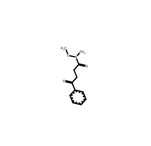 CON(C)C(=O)CCC(=O)c1ccccc1